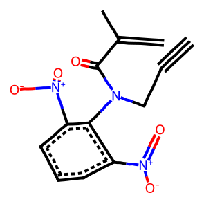 C#CCN(C(=O)C(=C)C)c1c([N+](=O)[O-])cccc1[N+](=O)[O-]